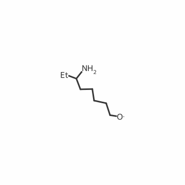 CCC(N)CCCCC[O]